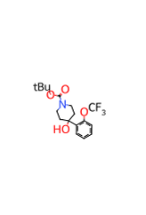 CC(C)(C)OC(=O)N1CCC(O)(c2ccccc2OC(F)(F)F)CC1